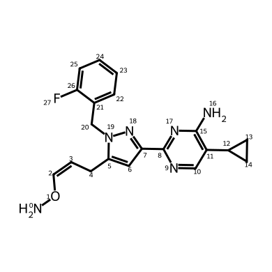 NO/C=C\Cc1cc(-c2ncc(C3CC3)c(N)n2)nn1Cc1ccccc1F